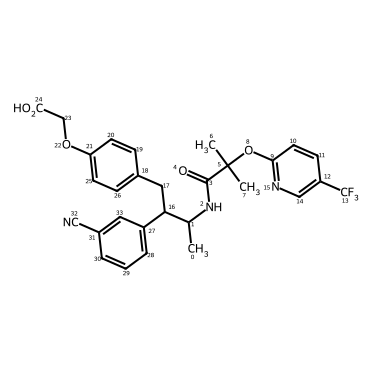 CC(NC(=O)C(C)(C)Oc1ccc(C(F)(F)F)cn1)C(Cc1ccc(OCC(=O)O)cc1)c1cccc(C#N)c1